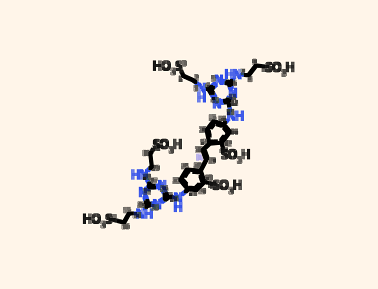 O=S(=O)(O)CCNc1nc(NCCS(=O)(=O)O)nc(Nc2ccc(/C=C/c3ccc(Nc4nc(NCCS(=O)(=O)O)nc(NCCS(=O)(=O)O)n4)cc3S(=O)(=O)O)c(S(=O)(=O)O)c2)n1